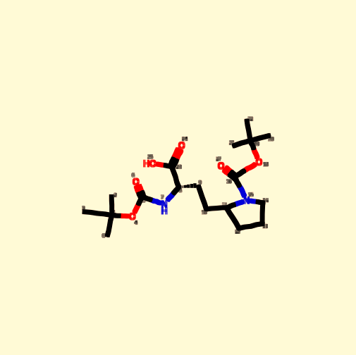 CC(C)(C)OC(=O)N[C@@H](CCC1CCCN1C(=O)OC(C)(C)C)C(=O)O